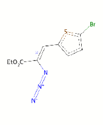 CCOC(=O)/C(=C/c1ccc(Br)s1)N=[N+]=[N-]